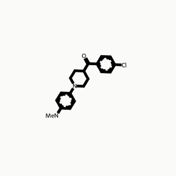 CNc1ccc(N2CCC(C(=O)c3ccc(Cl)cc3)CC2)cc1